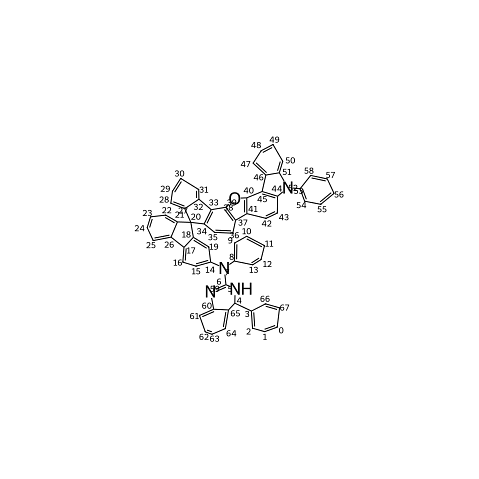 c1ccc(C2NC(N(c3ccccc3)c3ccc4c(c3)C3(c5ccccc5-4)c4ccccc4-c4c3ccc3c4oc4c3ccc3c4c4ccccc4n3-c3ccccc3)=Nc3ccccc32)cc1